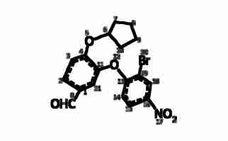 O=Cc1ccc(OC2CCCC2)c(Oc2ccc([N+](=O)[O-])cc2Br)c1